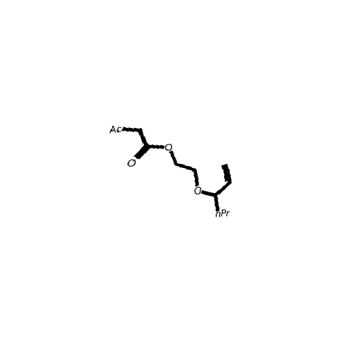 C=CC(CCC)OCCOC(=O)CC(C)=O